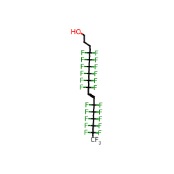 OCCCC(F)(F)C(F)(F)C(F)(F)C(F)(F)C(F)(F)C(F)(F)C=CC(F)(F)C(F)(F)C(F)(F)C(F)(F)C(F)(F)C(F)(F)F